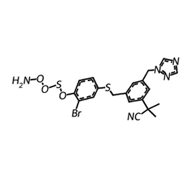 CC(C)(C#N)c1cc(CSc2ccc(OSOON)c(Br)c2)cc(Cn2cncn2)c1